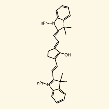 CCCN1/C(=C/C=C2\CCC(/C=C/C3=[N+](CCC)c4ccccc4C3(C)C)=C2O)C(C)(C)c2ccccc21